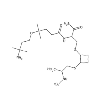 BC(=O)C(CSC1CCC1SCC(NC(C)(C)C)C(=O)O)NC(=O)CCC(C)(C)OCCC(C)(C)N